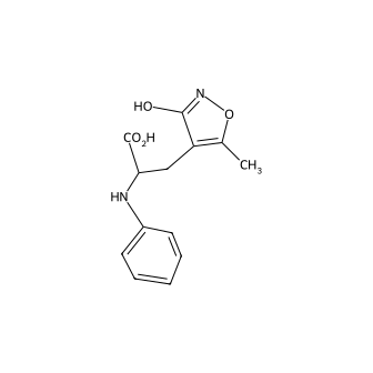 Cc1onc(O)c1CC(Nc1ccccc1)C(=O)O